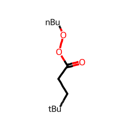 CCCCOOC(=O)CCC(C)(C)C